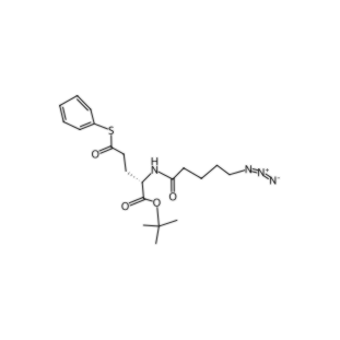 CC(C)(C)OC(=O)[C@H](CCC(=O)Sc1ccccc1)NC(=O)CCCCN=[N+]=[N-]